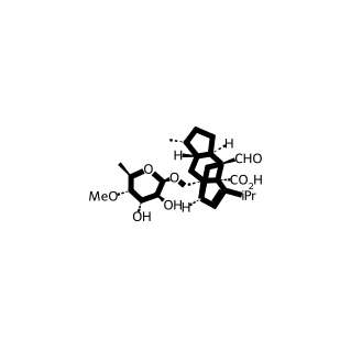 CO[C@H]1[C@@H](O)[C@H](O)[C@H](OC[C@@]23C[C@@H]4[C@H](C)CC[C@H]4[C@@]4(C=O)C[C@H]2C=C(C(C)C)[C@@]34C(=O)O)O[C@@H]1C